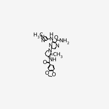 C[C@@H]1[C@H](NC(=O)c2ccc3c(c2)OCCO3)CCCN1c1cnc(C(N)=O)c(Nc2cnn(C)c2)n1